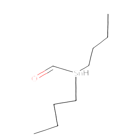 CCC[CH2][SnH]([CH]=O)[CH2]CCC